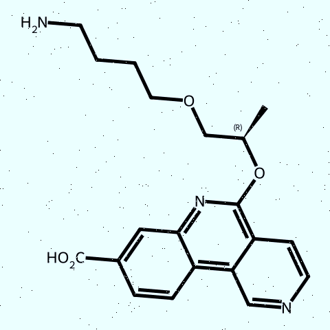 C[C@H](COCCCCN)Oc1nc2cc(C(=O)O)ccc2c2cnccc12